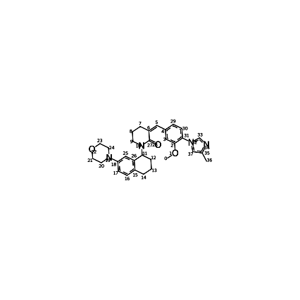 COc1cc(C=C2CCCN(C3CCCc4ccc(N5CCOCC5)cc43)C2=O)ccc1-n1cnc(C)c1